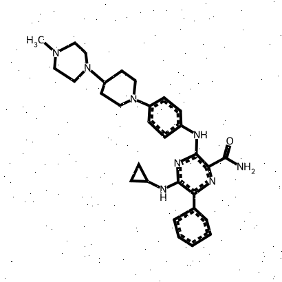 CN1CCN(C2CCN(c3ccc(Nc4nc(NC5CC5)c(-c5ccccc5)nc4C(N)=O)cc3)CC2)CC1